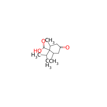 CC(C)C1(C(=O)O)C(C)CC(=O)CC1C